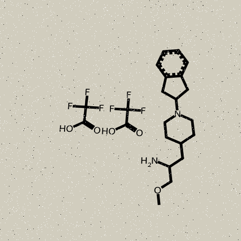 COCC(N)CC1CCN(C2Cc3ccccc3C2)CC1.O=C(O)C(F)(F)F.O=C(O)C(F)(F)F